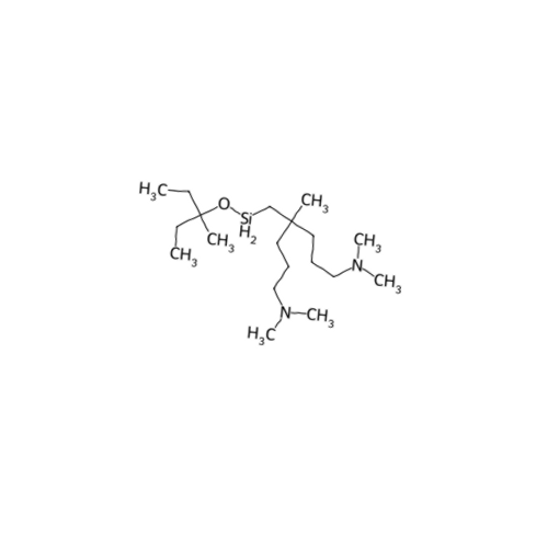 CCC(C)(CC)O[SiH2]CC(C)(CCCN(C)C)CCCN(C)C